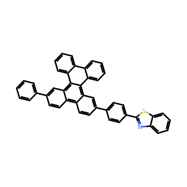 c1ccc(-c2ccc3c4ccc(-c5ccc(-c6nc7ccccc7s6)cc5)cc4c4c5ccccc5c5ccccc5c4c3c2)cc1